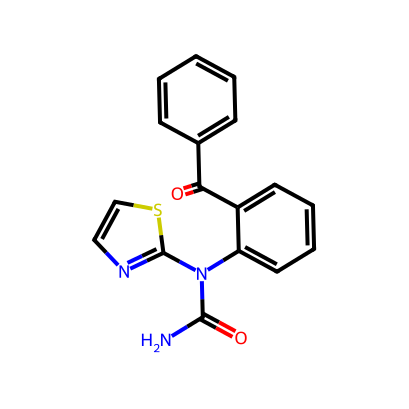 NC(=O)N(c1nccs1)c1ccccc1C(=O)c1ccccc1